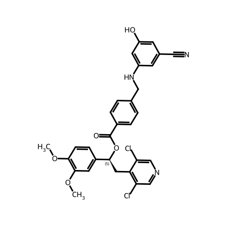 COc1ccc([C@H](Cc2c(Cl)cncc2Cl)OC(=O)c2ccc(CNc3cc(O)cc(C#N)c3)cc2)cc1OC